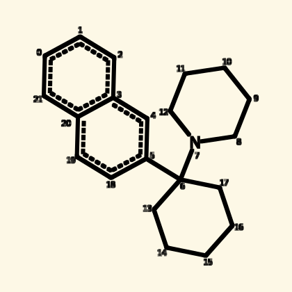 c1ccc2cc(C3(N4CCCCC4)CCCCC3)ccc2c1